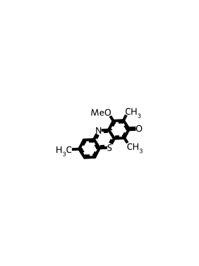 COc1c2nc3cc(C)ccc3sc-2c(C)c(=O)c1C